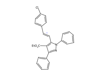 CCOC(=O)c1c(-c2ccccc2)nn(-c2ccccc2)c1/C=C/c1ccc(Cl)cc1